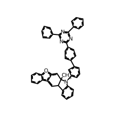 CC12C=c3oc4ccccc4c3=CC1c1ccccc1N2c1cccc(-c2ccc(-c3nc(-c4ccccc4)nc(-c4ccccc4)n3)cc2)c1